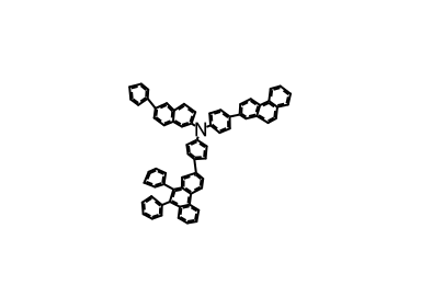 c1ccc(-c2ccc3cc(N(c4ccc(-c5ccc6c(ccc7ccccc76)c5)cc4)c4ccc(-c5ccc6c(c5)c(-c5ccccc5)c(-c5ccccc5)c5ccccc56)cc4)ccc3c2)cc1